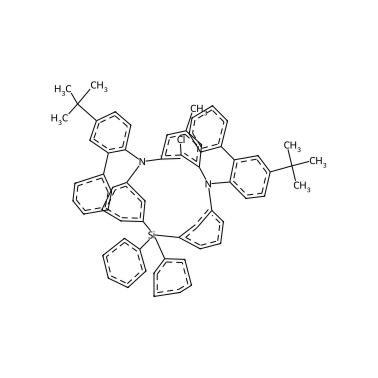 Cc1cc2c(Cl)c(c1)N(c1ccc(C(C)(C)C)cc1-c1ccccc1)c1cccc(c1)[Si](c1ccccc1)(c1ccccc1)c1cccc(c1)N2c1ccc(C(C)(C)C)cc1-c1ccccc1